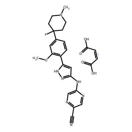 COc1cc(C2(F)CCN(C)CC2)ccc1-c1cc(Nc2cnc(C#N)cn2)n[nH]1.O=C(O)/C=C\C(=O)O